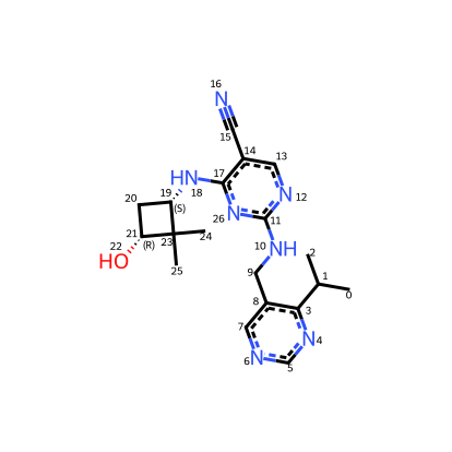 CC(C)c1ncncc1CNc1ncc(C#N)c(N[C@H]2C[C@@H](O)C2(C)C)n1